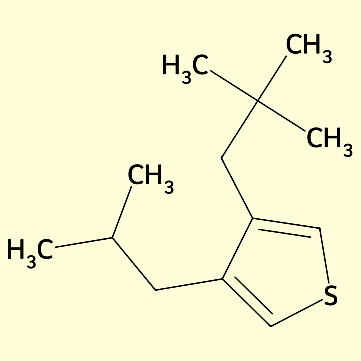 CC(C)Cc1cscc1CC(C)(C)C